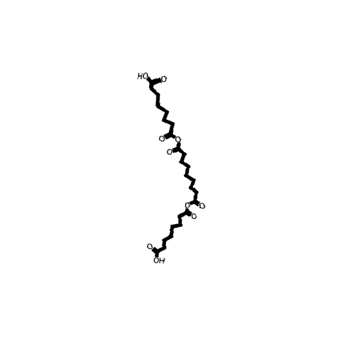 O=C(O)CCCCCCC(=O)OC(=O)CCCCCCCC(=O)OC(=O)CCCCCCC(=O)O